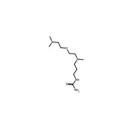 CN(C)CCOCCN(C)CCCNC(N)=O